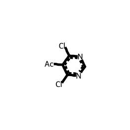 CC(=O)c1c(Cl)ncnc1Cl